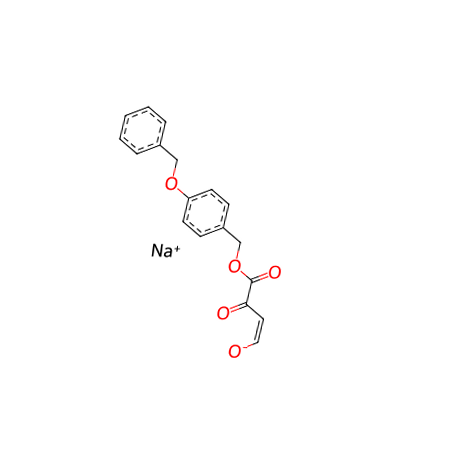 O=C(/C=C\[O-])C(=O)OCc1ccc(OCc2ccccc2)cc1.[Na+]